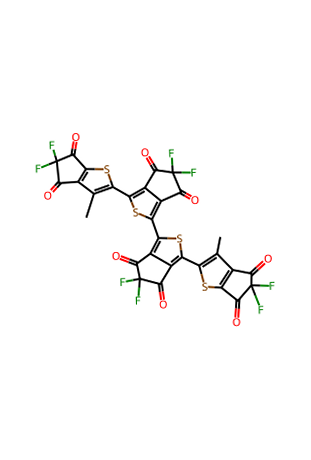 Cc1c(-c2sc(-c3sc(-c4sc5c(c4C)C(=O)C(F)(F)C5=O)c4c3C(=O)C(F)(F)C4=O)c3c2C(=O)C(F)(F)C3=O)sc2c1C(=O)C(F)(F)C2=O